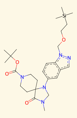 CN1CN(c2ccc3c(cnn3COCC[Si](C)(C)C)c2)C2(CCN(C(=O)OC(C)(C)C)CC2)C1=O